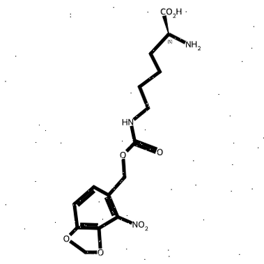 N[C@@H](CCCCNC(=O)OCc1ccc2c(c1[N+](=O)[O-])OCO2)C(=O)O